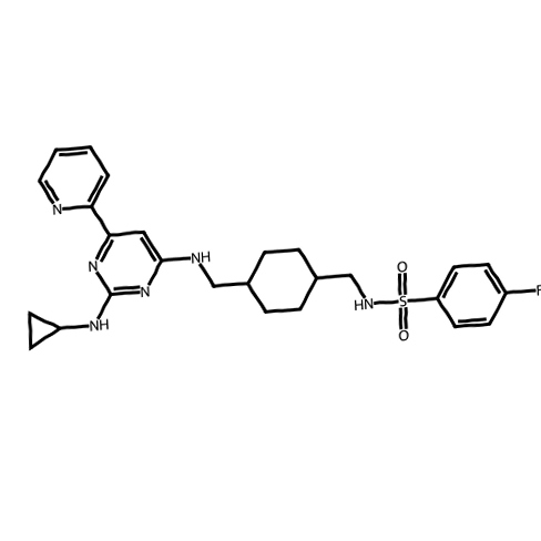 O=S(=O)(NCC1CCC(CNc2cc(-c3ccccn3)nc(NC3CC3)n2)CC1)c1ccc(F)cc1